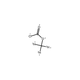 [2H]C([2H])([2H])OC(=O)Cl